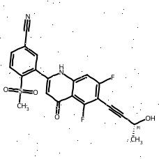 C[C@@H](O)C#Cc1c(F)cc2[nH]c(-c3cc(C#N)ccc3S(C)(=O)=O)cc(=O)c2c1F